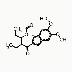 CCC(OC=O)C(CC)C(=O)c1cc2cc(OC)c(OC)cc2s1